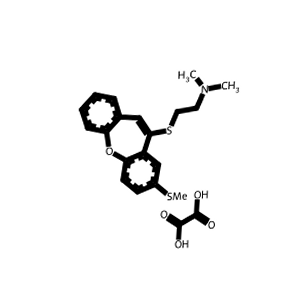 CSc1ccc2c(c1)C(SCCN(C)C)=Cc1ccccc1O2.O=C(O)C(=O)O